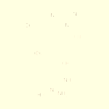 CCC1CCN(Cc2nccn2Cc2cc(C(c3ccc(N(C)N)c(N)c3C)C(C)(C)C)ccc2C)CC1